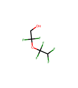 OCC(F)(F)OC(F)(F)C(F)F